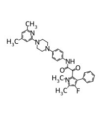 Cc1cc(C)nc(N2CCN(c3ccc(NC(=O)C(=O)c4c(-c5ccccc5)c(F)c(C)n4C)cc3)CC2)c1